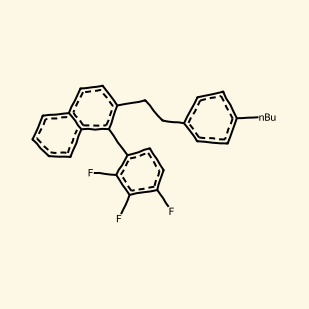 CCCCc1ccc(CCc2ccc3ccccc3c2-c2ccc(F)c(F)c2F)cc1